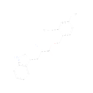 COc1ccc(COC(=O)[C@@H](N)Cc2c[nH]c3ccccc23)c(OC)c1